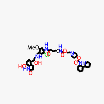 COc1cc(NC(=O)CCCCNC(=O)OCCN2CCC(OC(=O)Nc3ccccc3-c3ccccc3)CC2)c(Cl)cc1CNC[C@H](O)c1ccc(O)c2[nH]c(=O)ccc12